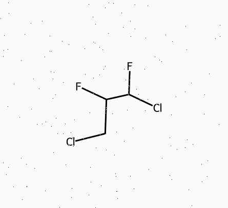 FC(Cl)C(F)CCl